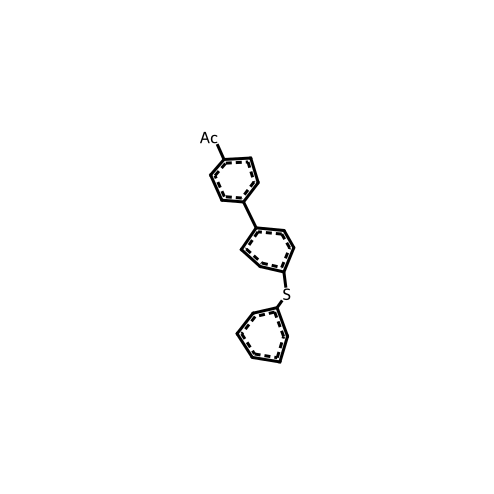 CC(=O)c1ccc(-c2ccc(Sc3ccccc3)cc2)cc1